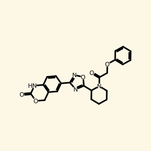 O=C1Nc2ccc(-c3noc(C4CCCCN4C(=O)COc4ccccc4)n3)cc2CO1